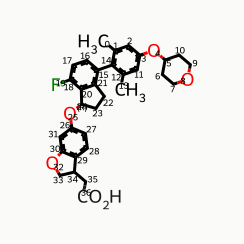 Cc1cc(OC2CCOCC2)cc(C)c1-c1ccc(F)c2c1CC[C@H]2Oc1ccc2c(c1)OCC2CC(=O)O